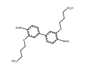 CC(=O)Nc1ccc(-c2ccc(NC(C)=O)c(OCCCS(=O)(=O)O)c2)cc1OCCCS(=O)(=O)O